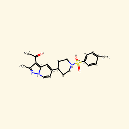 CNC(=O)c1c(C)nn2ccc(C3CCN(S(=O)(=O)c4ccc(NC(C)=O)cc4)CC3)cc12